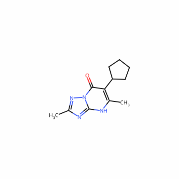 Cc1nc2[nH]c(C)c(C3CCCC3)c(=O)n2n1